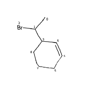 CC(Br)C1C=CCCC1